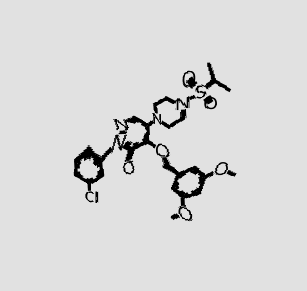 COc1cc(COc2c(N3CCN(S(=O)(=O)C(C)C)CC3)cnn(-c3cccc(Cl)c3)c2=O)cc(OC)c1